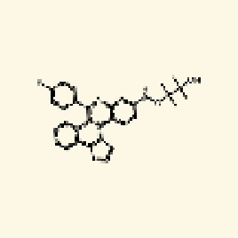 CC(C)(O)C(C)(C)OBc1ccc2c(c1)nc(-c1ccc(F)cc1)c1c3ccccc3c3c(c21)C=C=C3